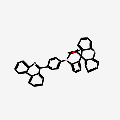 c1ccc2c(c1)Oc1ccccc1C21c2ccccc2N(c2ccc(-c3nc4ccccc4c4ccccc34)cc2)c2ccccc21